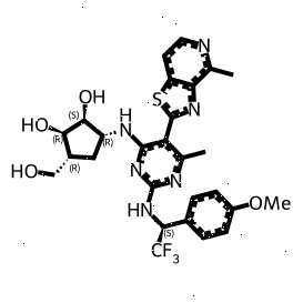 COc1ccc([C@H](Nc2nc(C)c(-c3nc4c(C)nccc4s3)c(N[C@@H]3C[C@H](CO)[C@@H](O)[C@H]3O)n2)C(F)(F)F)cc1